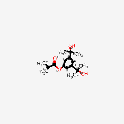 C=C(C)C(=O)Oc1cc(C(C)(C)O)cc(C(C)(C)O)c1